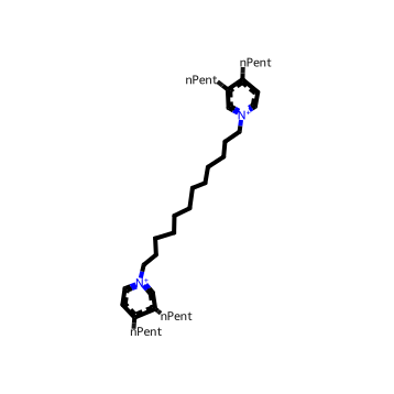 CCCCCc1cc[n+](CCCCCCCCCCCC[n+]2ccc(CCCCC)c(CCCCC)c2)cc1CCCCC